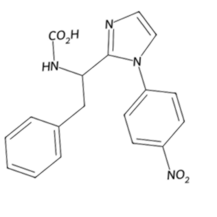 O=C(O)NC(Cc1ccccc1)c1nccn1-c1ccc([N+](=O)[O-])cc1